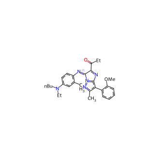 CCCCN(CC)c1ccc(/N=C2/C(C(=O)CC)=Nc3c(-c4ccccc4OC)c(C)nn32)c(C)c1